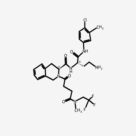 Cc1cc(NC(=O)[C@H](CCN)NC(=O)[C@@H]2Cc3ccccc3CN2C(=O)CCC(=O)N(C)CC(F)(F)F)ccc1Cl